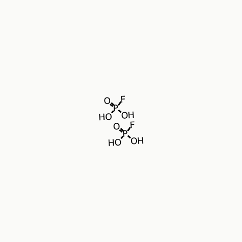 O=P(O)(O)F.O=P(O)(O)F